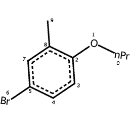 [CH2]CCOc1ccc(Br)cc1C